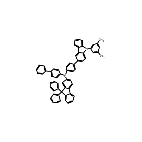 Cc1cc(C)cc(-n2c3ccccc3c3cc(-c4ccc(N(c5ccc(-c6ccccc6)cc5)c5ccc6c(c5)C(c5ccccc5)(c5ccccc5)c5ccccc5-6)cc4)ccc32)c1